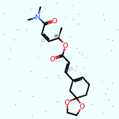 C[C@H](/C=C\C(=O)N(C)C)OC(=O)/C=C/C1=CCCC2(C1)OCCO2